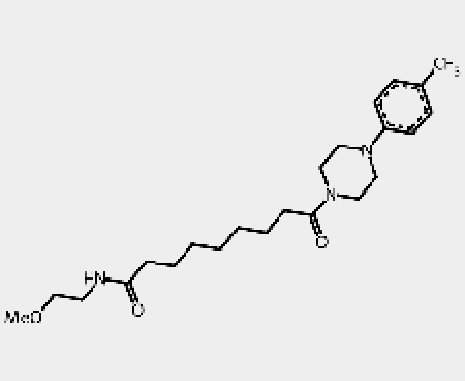 COCCNC(=O)CCCCCCCC(=O)N1CCN(c2ccc(C(F)(F)F)cc2)CC1